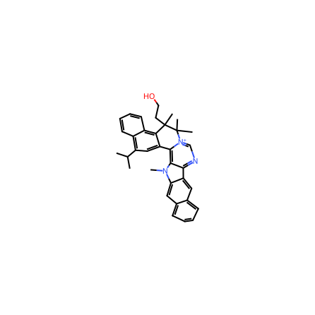 CC(C)c1cc2c(c3ccccc13)C(C)(CCO)C(C)(C)[n+]1cnc3c4cc5ccccc5cc4n(C)c3c1-2